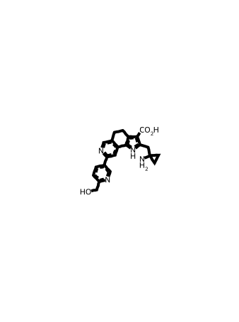 NC1(Cc2[nH]c3c(c2C(=O)O)CCc2cnc(-c4ccc(CO)nc4)cc2-3)CC1